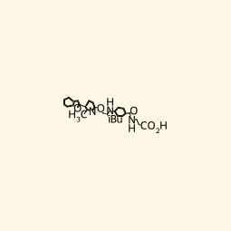 CC[C@H](C)[C@@H](COc1ccc(-c2cc3ccccc3o2)c(C)n1)Nc1ccc(C(=O)NCCC(=O)O)cc1